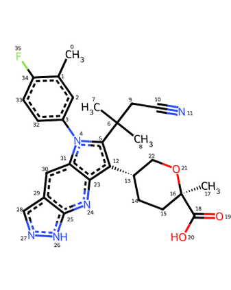 Cc1cc(-n2c(C(C)(C)CC#N)c([C@H]3CC[C@](C)(C(=O)O)OC3)c3nc4[nH]ncc4cc32)ccc1F